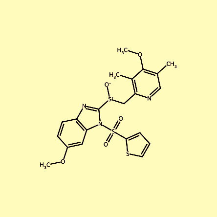 COc1ccc2nc([S+]([O-])Cc3ncc(C)c(OC)c3C)n(S(=O)(=O)c3cccs3)c2c1